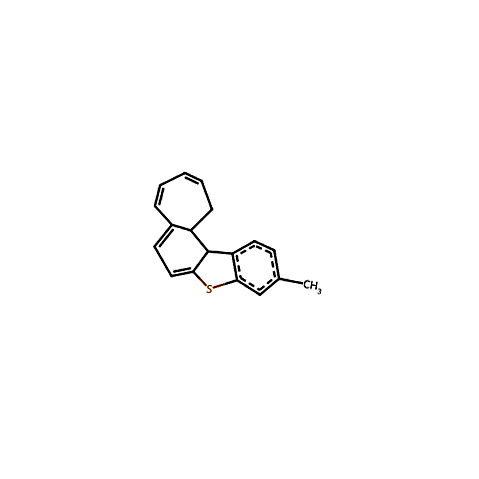 Cc1ccc2c(c1)SC1=CC=C3C=CC=CCC3C12